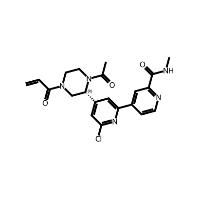 C=CC(=O)N1CCN(C(C)=O)[C@H](c2cc(Cl)nc(-c3ccnc(C(=O)NC)c3)c2)C1